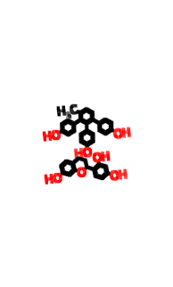 Cc1ccc(-c2ccc(O)cc2)c(-c2ccc(O)cc2)c1-c1ccc(O)cc1.Oc1ccc(C2CCc3ccc(O)cc3O2)c(O)c1